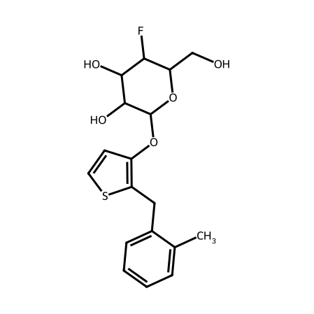 Cc1ccccc1Cc1sccc1OC1OC(CO)C(F)C(O)C1O